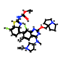 CN(c1nc(OCC23CCCN2CCC3)nc2c(F)c(-c3ccc(F)c4sc(NC(=O)OC(C)(C)C)nc34)c(C(F)(F)F)cc12)[C@@H]1CCN(C(=O)O)C1